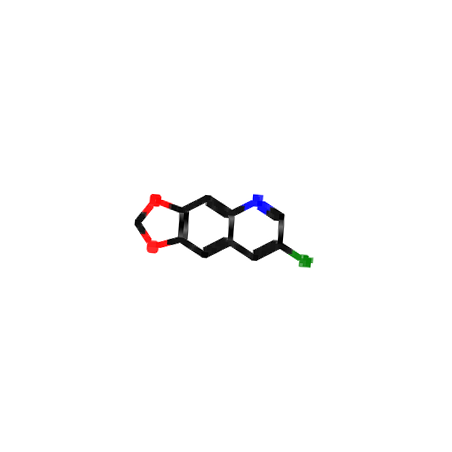 Brc1cnc2cc3c(cc2c1)OCO3